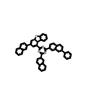 C1=C(c2ccc3ccccc3c2)C=C(c2nc(-c3ccc4ccccc4c3)nc(-c3ccc4ccc(-c5ccccc5)cc4c3)n2)C2c3ccccc3OC12